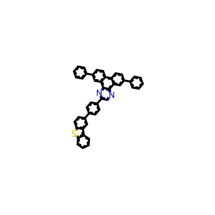 c1ccc(-c2ccc3c4ccc(-c5ccccc5)cc4c4nc(-c5ccc(-c6ccc7sc8ccccc8c7c6)cc5)cnc4c3c2)cc1